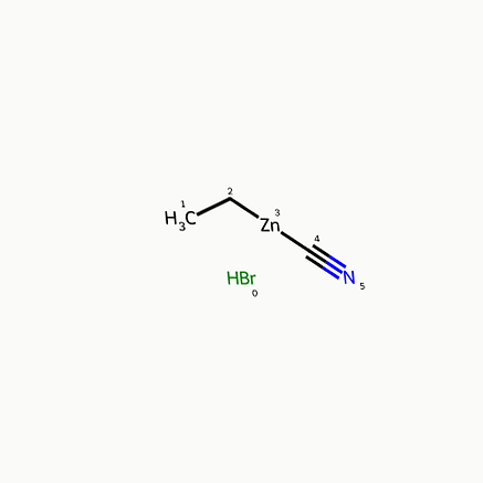 Br.C[CH2][Zn][C]#N